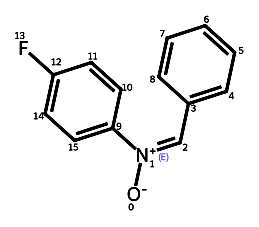 [O-]/[N+](=C/c1ccccc1)c1ccc(F)cc1